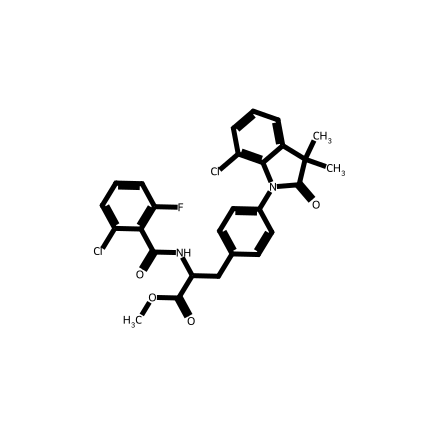 COC(=O)C(Cc1ccc(N2C(=O)C(C)(C)c3cccc(Cl)c32)cc1)NC(=O)c1c(F)cccc1Cl